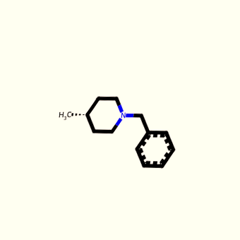 C[C@@H]1[CH]CN(Cc2ccccc2)CC1